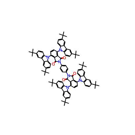 CC(C)(C)c1ccc2c(c1)c1cc(C(C)(C)C)ccc1n2-c1ccc(-n2c3ccc(C(C)(C)C)cc3c3cc(C(C)(C)C)ccc32)c2c1C(=O)N(c1ccc(N3C(=O)c4c(-n5c6ccc(C(C)(C)C)cc6c6cc(C(C)(C)C)ccc65)ccc(-n5c6ccc(C(C)(C)C)cc6c6cc(C(C)(C)C)ccc65)c4C3=O)cc1)C2=O